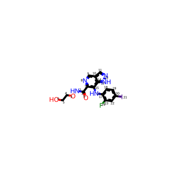 O=C(NOCCO)c1ncc2cn[nH]c2c1Nc1ccc(I)cc1F